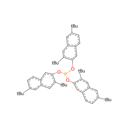 CC(C)(C)c1ccc2cc(OP(Oc3cc4ccc(C(C)(C)C)cc4cc3C(C)(C)C)Oc3cc4ccc(C(C)(C)C)cc4cc3C(C)(C)C)c(C(C)(C)C)cc2c1